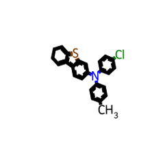 Cc1ccc(N(c2ccc(Cl)cc2)c2ccc3c4c(sc3c2)=CCCC=4)cc1